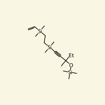 C=C[Si](C)(C)CC[Si](C)(C)C#CC(C)(CC)O[Si](C)(C)C